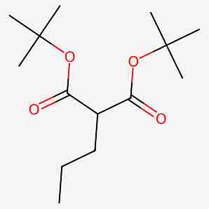 CCCC(C(=O)OC(C)(C)C)C(=O)OC(C)(C)C